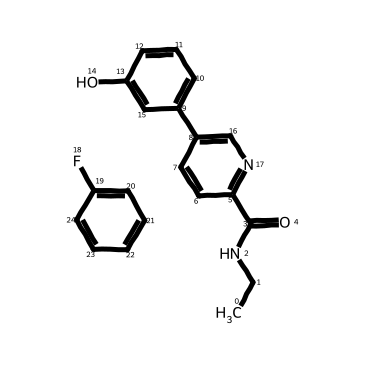 CCNC(=O)c1ccc(-c2cccc(O)c2)cn1.Fc1ccccc1